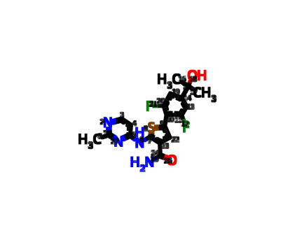 Cc1nccc(Nc2sc(-c3c(F)cc(C(C)(C)O)cc3F)cc2C(N)=O)n1